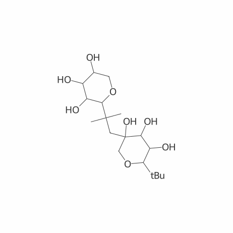 CC(C)(C)C1OCC(O)(CC(C)(C)C2OCC(O)C(O)C2O)C(O)C1O